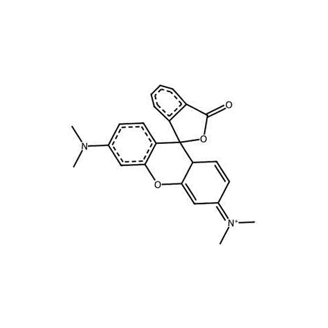 CN(C)c1ccc2c(c1)OC1=CC(=[N+](C)C)C=CC1C21OC(=O)c2ccccc21